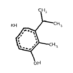 Cc1c(O)cccc1C(C)C.[KH]